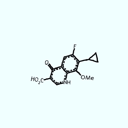 COc1c(C2CC2)c(F)cc2c(=O)c(C(=O)O)c[nH]c12